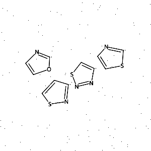 [c]1ccsn1.[c]1csnn1.[c]1ncco1.[c]1nccs1